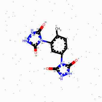 Cc1ccc(-n2c(=O)[nH][nH]c2=O)cc1-n1c(=O)[nH][nH]c1=O